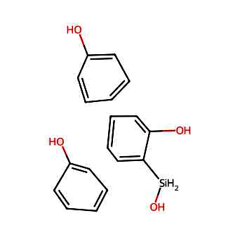 O[SiH2]c1ccccc1O.Oc1ccccc1.Oc1ccccc1